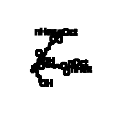 CCCCCCCCC(CCCCCC)C(=O)OCCCCCC(=O)OCC(CN(C)CCCCO)OC(O)CCCCCOC(=O)[C@@H](CCCCCC)CCCCCCCC